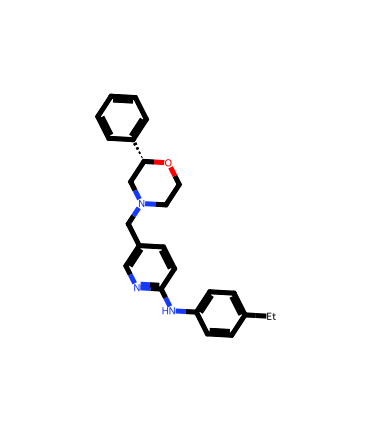 CCc1ccc(Nc2ccc(CN3CCO[C@@H](c4ccccc4)C3)cn2)cc1